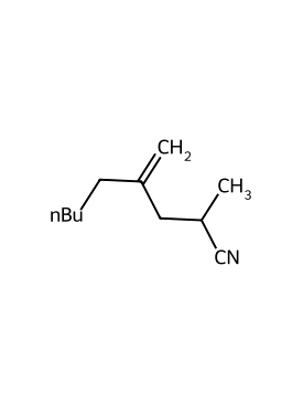 C=C(CCCCC)CC(C)C#N